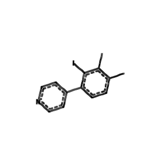 Cc1ccc(-c2ccncc2)c(I)c1C